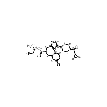 C[C@@H](CF)OC(=O)N1Cc2cc(Cl)ccc2-n2c(nnc2C2CCN(C(=O)C3CC3)CC2)C1